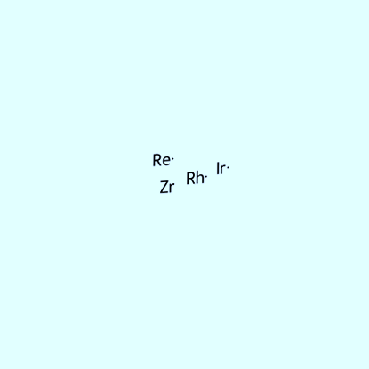 [Ir].[Re].[Rh].[Zr]